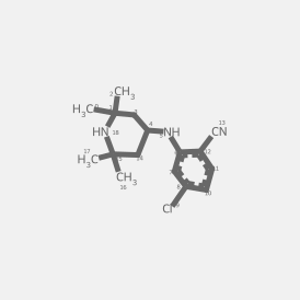 CC1(C)CC(Nc2cc(Cl)ccc2C#N)CC(C)(C)N1